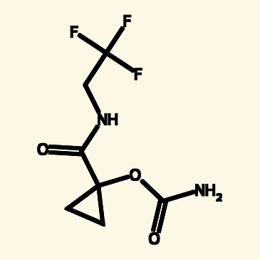 NC(=O)OC1(C(=O)NCC(F)(F)F)CC1